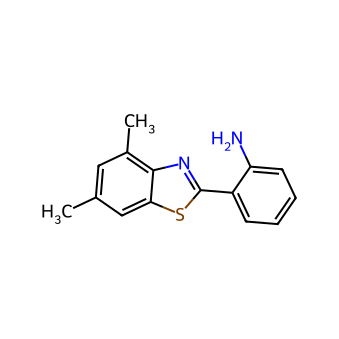 Cc1cc(C)c2nc(-c3ccccc3N)sc2c1